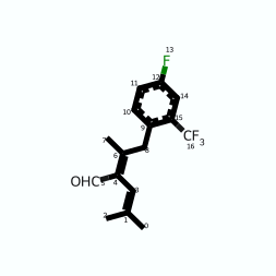 CC(C)=C/C(C=O)=C(/C)Cc1ccc(F)cc1C(F)(F)F